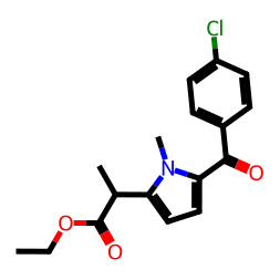 CCOC(=O)C(C)c1ccc(C(=O)c2ccc(Cl)cc2)n1C